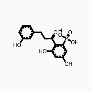 O=C(CCc1cccc(O)c1)c1c(O)cc(O)cc1P(=O)(O)O